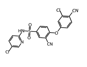 N#Cc1ccc(Oc2ccc(S(=O)(=O)Nc3ccc(Cl)cn3)cc2C#N)cc1Cl